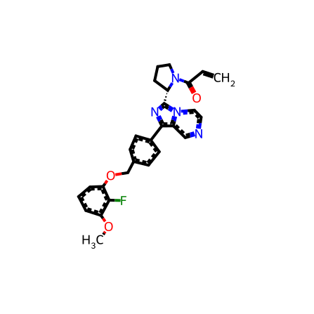 C=CC(=O)N1CCC[C@H]1c1nc(-c2ccc(COc3cccc(OC)c3F)cc2)c2cnccn12